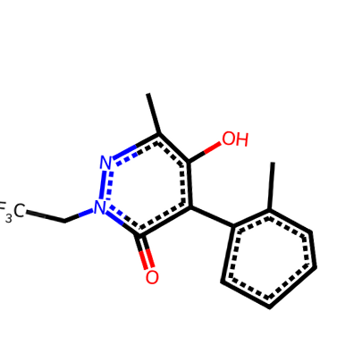 Cc1ccccc1-c1c(O)c(C)nn(CC(F)(F)F)c1=O